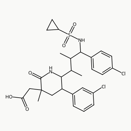 CC(C(NS(=O)(=O)C1CC1)c1ccc(Cl)cc1)C(C)C1NC(=O)C(C)(CC(=O)O)CC1c1cccc(Cl)c1